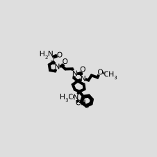 COCCCN1C(=O)N(CCC(=O)N2CCC[C@@H]2C(N)=O)CC12CCC(c1ccccc1)(N(C)C)CC2